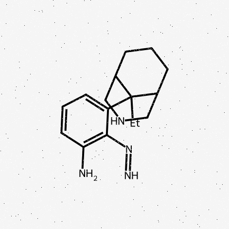 CCC1(c2cccc(N)c2N=N)C2CCCC1CNC2